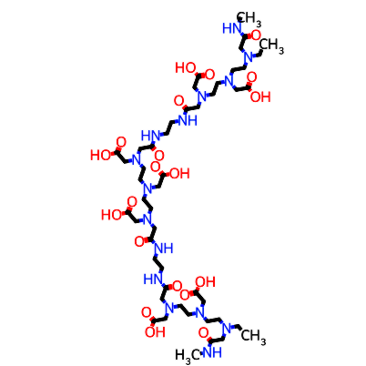 CCN(CCN(CCN(CC(=O)O)CC(=O)NCCNC(=O)CN(CCN(CCN(CC(=O)O)CC(=O)NCCNC(=O)CN(CCN(CCN(CC)CC(=O)NC)CC(=O)O)CC(=O)O)CC(=O)O)CC(=O)O)CC(=O)O)CC(=O)NC